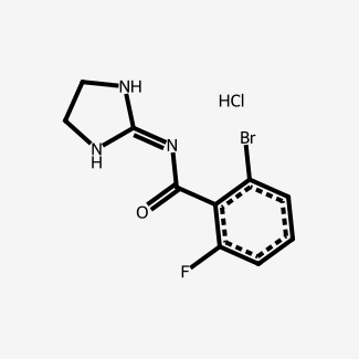 Cl.O=C(N=C1NCCN1)c1c(F)cccc1Br